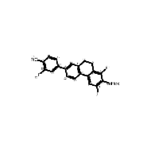 CCCCCCc1c(F)cc2c(c1F)CCc1cc(-c3ccc(C#N)c(F)c3)ccc1-2